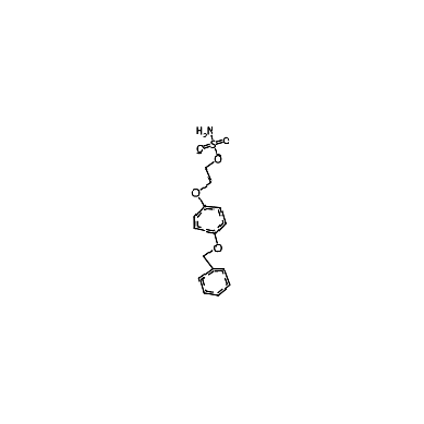 NS(=O)(=O)OCCOc1ccc(OCc2ccccc2)cc1